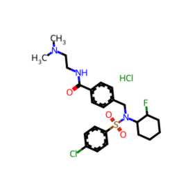 CN(C)CCNC(=O)c1ccc(CN(C2CCCCC2F)S(=O)(=O)c2ccc(Cl)cc2)cc1.Cl